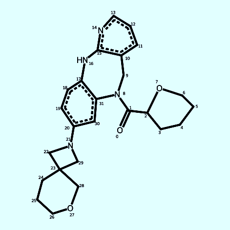 O=C(C1CCCCO1)N1Cc2cccnc2Nc2ccc(N3CC4(CCCOC4)C3)cc21